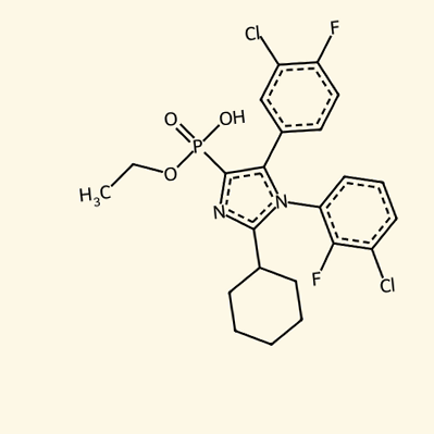 CCOP(=O)(O)c1nc(C2CCCCC2)n(-c2cccc(Cl)c2F)c1-c1ccc(F)c(Cl)c1